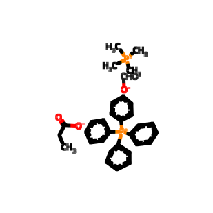 CCC(=O)[O-].C[P+](C)(C)C.O=C[O-].c1ccc([P+](c2ccccc2)(c2ccccc2)c2ccccc2)cc1